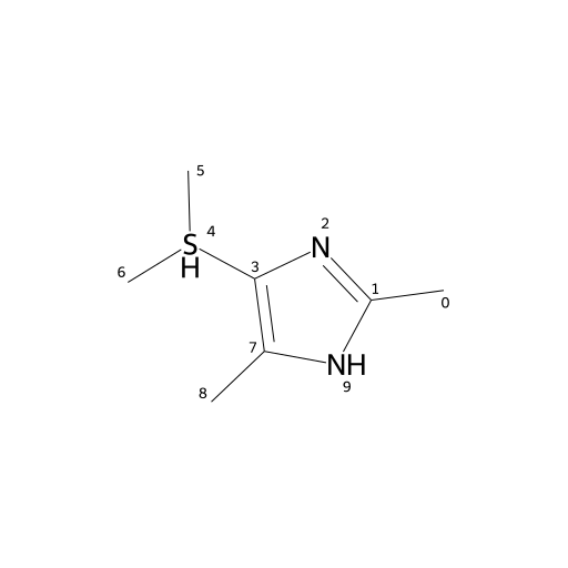 Cc1nc([SH](C)C)c(C)[nH]1